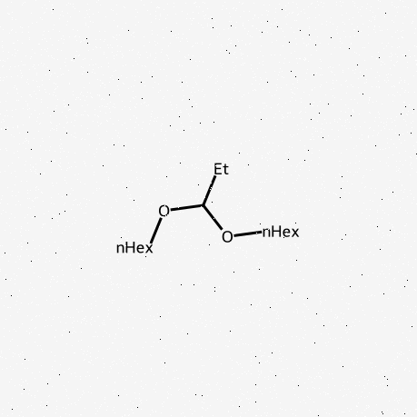 CCCCCCOC(CC)OCCCCCC